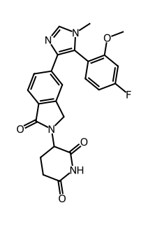 COc1cc(F)ccc1-c1c(-c2ccc3c(c2)CN(C2CCC(=O)NC2=O)C3=O)ncn1C